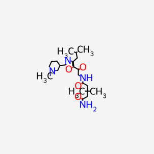 CC(C)Cc1nc(C2CCCN(C)C2)oc1C(=O)CNC(=O)CC(C)(C)CC(N)=O